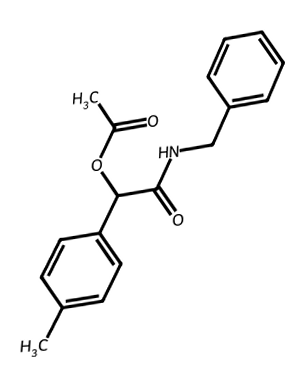 CC(=O)OC(C(=O)NCc1ccccc1)c1ccc(C)cc1